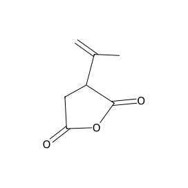 C=C(C)C1CC(=O)OC1=O